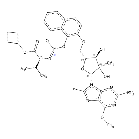 COc1nc(N)nc2c1nc(I)n2[C@@H]1O[C@H](COc2ccc3ccccc3c2O/[P+]([O-])=N/[C@H](C(=O)OC2CCC2)C(C)C)[C@@H](O)[C@@]1(C)O